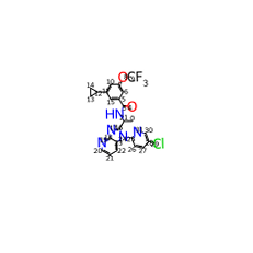 CC(NC(=O)c1cc(OC(F)(F)F)cc(C2CC2)c1)c1nc2ncccc2n1-c1ccc(Cl)cn1